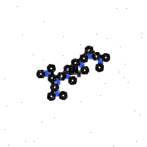 C=C(/C=C\c1c(C)n(-c2ccccc2)c2cc3c(cc12)c1c2c4ccccc4n(-c4ccccc4)c2cc2c4cc5c6ccccc6n(-c6ccccc6)c5cc4n3c21)c1ccc2c3cc4c5cccc6c7cc8c9ccccc9n(-c9ccccc9)c8cc7n(c4cc3n(-c3ccccc3)c2c1)c65